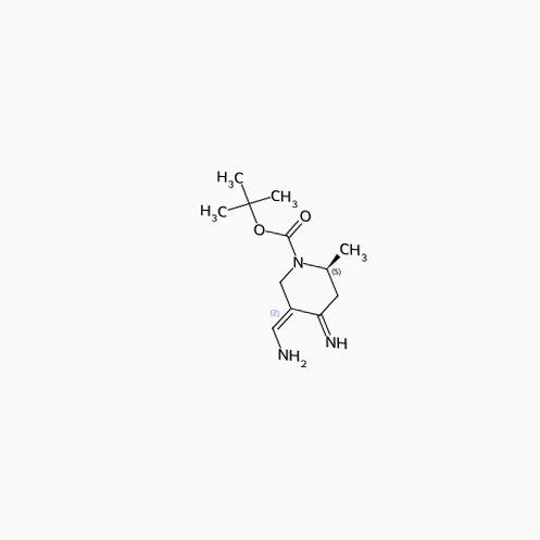 C[C@H]1CC(=N)/C(=C\N)CN1C(=O)OC(C)(C)C